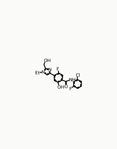 CCn1cc(-c2cc(O)c(C(=O)Nc3c(F)cccc3Cl)cc2F)nc1CO